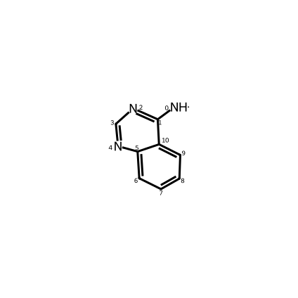 [NH]c1ncnc2ccccc12